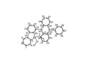 CCC1(CC)c2ccccc2-c2cccc(-c3c4ccccc4c(-c4ccccc4)c4ccccc34)c21